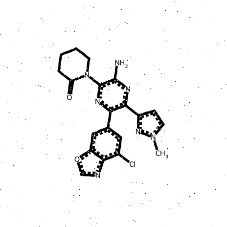 Cn1ccc(-c2nc(N)c(N3CCCCC3=O)nc2-c2cc(Cl)c3ncoc3c2)n1